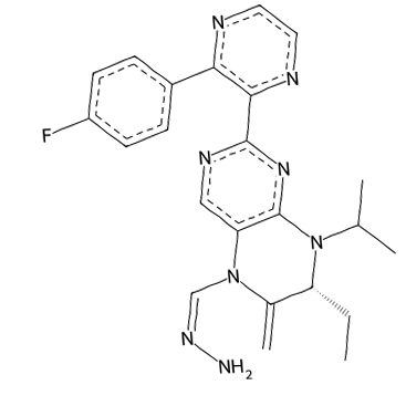 C=C1[C@@H](CC)N(C(C)C)c2nc(-c3nccnc3-c3ccc(F)cc3)ncc2N1/C=N\N